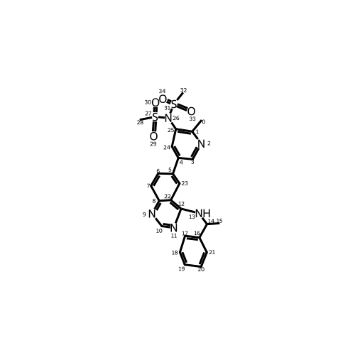 Cc1ncc(-c2ccc3ncnc(NC(C)c4ccccc4)c3c2)cc1N(S(C)(=O)=O)S(C)(=O)=O